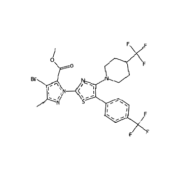 COC(=O)c1c(Br)c(C)nn1-c1nc(N2CCC(C(F)(F)F)CC2)c(-c2ccc(C(F)(F)F)cc2)s1